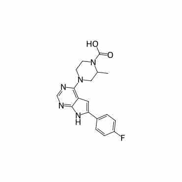 CC1CN(c2ncnc3[nH]c(-c4ccc(F)cc4)cc23)CCN1C(=O)O